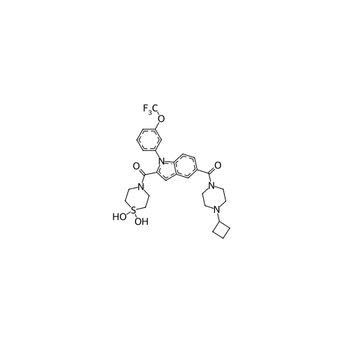 O=C(c1ccc2c(c1)cc(C(=O)N1CCS(O)(O)CC1)n2-c1cccc(OC(F)(F)F)c1)N1CCN(C2CCC2)CC1